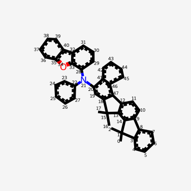 CC1(C)c2ccccc2-c2ccc3c(c21)C(C)(C)c1cc(N(c2ccccc2)c2cccc4c2oc2ccccc24)c2ccccc2c1-3